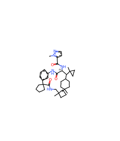 Cn1nccc1C(=O)N[C@H](C(=O)Nc1cccc(C2(C(=O)NCC3(C)CCC3)CCCC2)c1)C(C1CCC(C)(C)CC1)C1(C)CC1